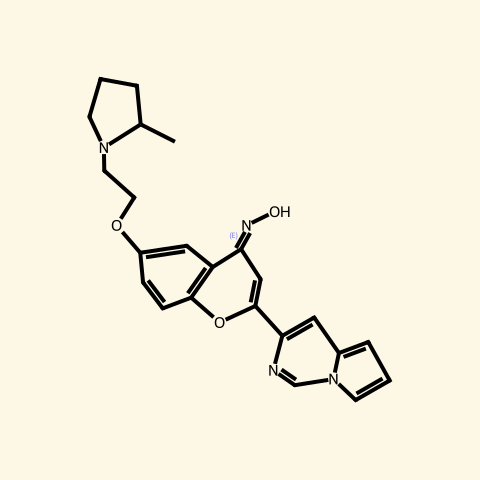 CC1CCCN1CCOc1ccc2oc(-c3cc4cccn4cn3)c/c(=N\O)c2c1